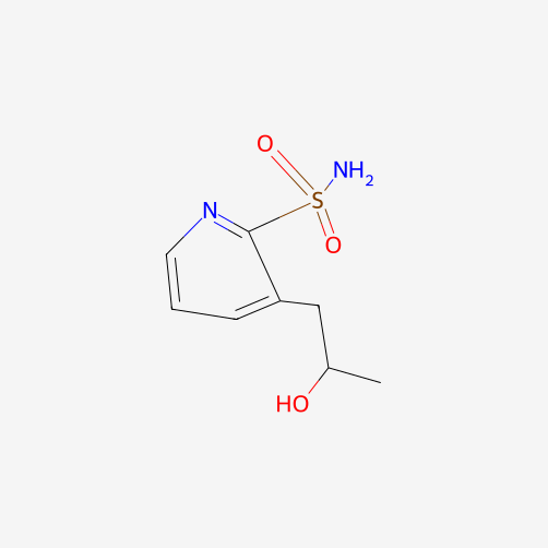 CC(O)Cc1cccnc1S(N)(=O)=O